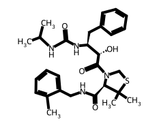 Cc1ccccc1CNC(=O)[C@H]1N(C(=O)[C@@H](O)[C@H](Cc2ccccc2)NC(=O)NC(C)C)CSC1(C)C